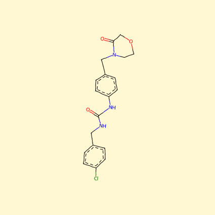 O=C(NCc1ccc(Cl)cc1)Nc1ccc(CN2CCOCC2=O)cc1